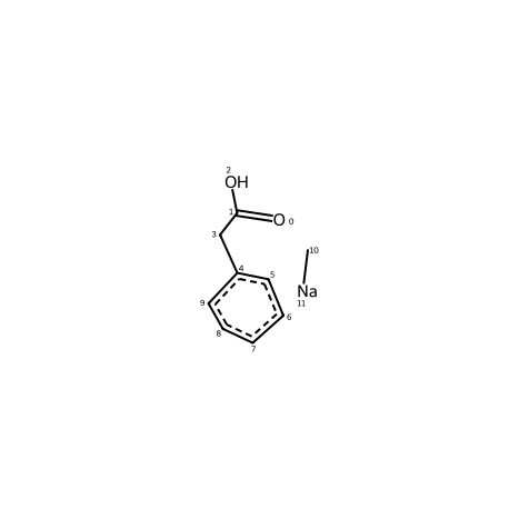 O=C(O)Cc1ccccc1.[CH3][Na]